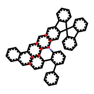 c1ccc(-c2ccccc2-c2c(-c3ccccc3)cccc2N(c2ccc3c(c2)C2(c4ccccc4-c4ccccc42)c2ccccc2-3)c2ccc3c(ccc4ccccc43)c2)cc1